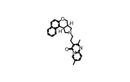 Cc1ccc2nc(C)c(CCN3C[C@@H]4COc5ccc6ccccc6c5[C@@H]4C3)c(=O)n2c1